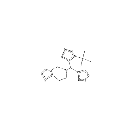 CC(C)(C)n1nnnc1C(c1ccsc1)N1CCc2sccc2C1